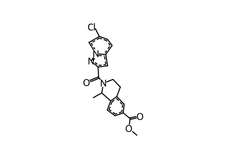 COC(=O)c1ccc2c(c1)CCN(C(=O)c1cc3ccc(Cl)cn3n1)C2C